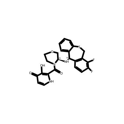 O=C(c1[nH]ccc(=O)c1O)N1CCOC[C@H]1N[C@@H]1c2ccccc2SCc2c1ccc(F)c2F